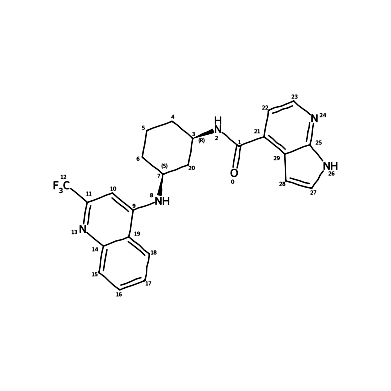 O=C(N[C@@H]1CCC[C@H](Nc2cc(C(F)(F)F)nc3ccccc23)C1)c1ccnc2[nH]ccc12